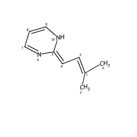 CC(C)=C/C=C1/N=CC=CN1